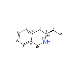 CC[C@@H]1Cc2ccccc2CN1